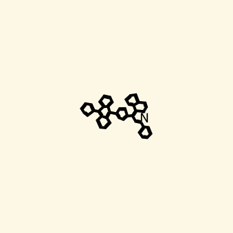 c1ccc(-c2cc(-c3ccc(-c4c5ccccc5c(-c5ccccc5)c5ccccc45)cc3)c3c(ccc4ccccc43)n2)cc1